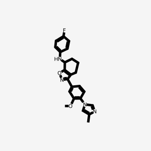 COc1cc(-c2noc3c2CCCC3Nc2ccc(F)cc2)ccc1-n1cnc(C)c1